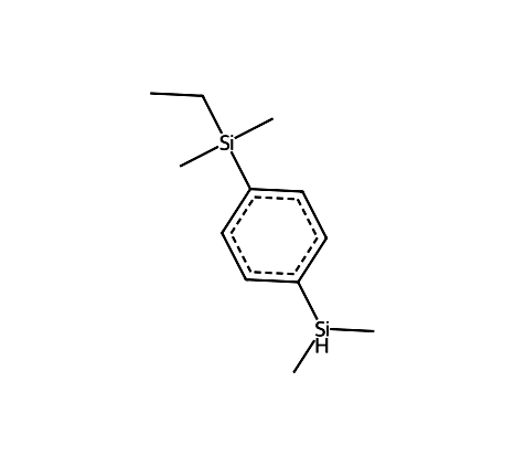 CC[Si](C)(C)c1ccc([SiH](C)C)cc1